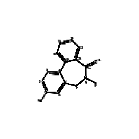 Cc1ccc2c(c1)CN(C)C(=O)c1ccccc1-2